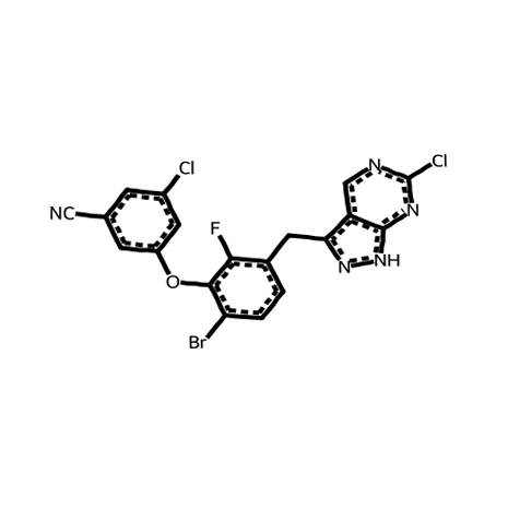 N#Cc1cc(Cl)cc(Oc2c(Br)ccc(Cc3n[nH]c4nc(Cl)ncc34)c2F)c1